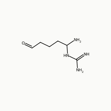 N=C(N)NC(N)CCCC=O